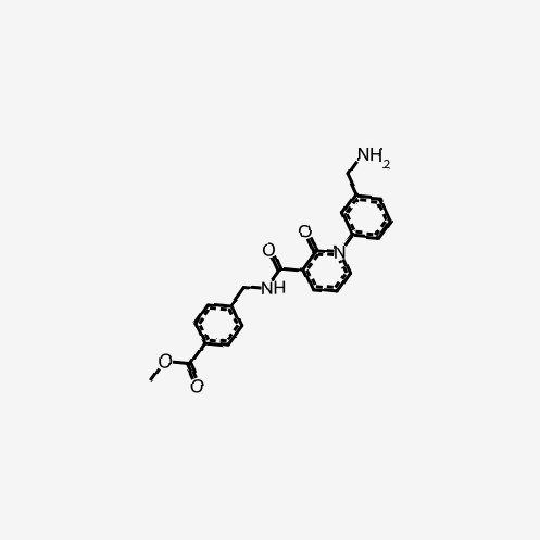 COC(=O)c1ccc(CNC(=O)c2cccn(-c3cccc(CN)c3)c2=O)cc1